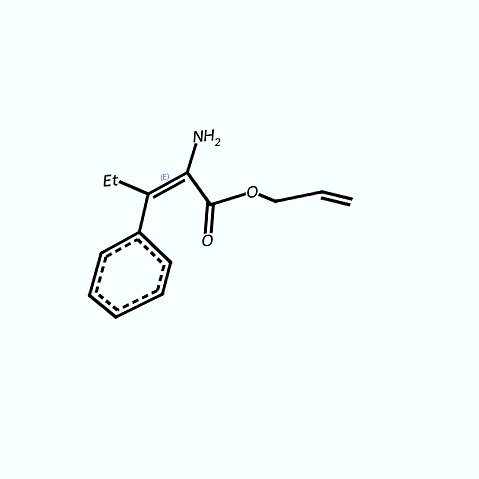 C=CCOC(=O)/C(N)=C(/CC)c1ccccc1